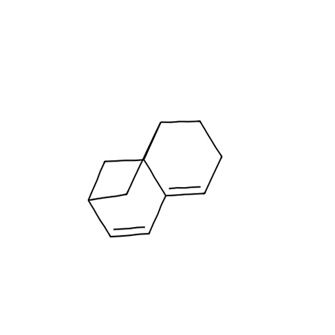 C1=CC2CC3CCC=C1C3C2